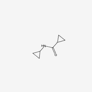 O=C(NC1CC1)[C]1CC1